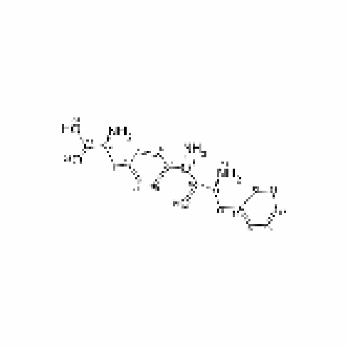 N.N[C@@H](Cc1ccc(OC(=O)[C@@H](N)Cc2ccccc2)cc1)C(=O)O